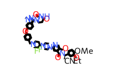 CCOc1cc([C@@H](CC#N)N2C(=O)c3cnc(N4CCN([C@@H]5CCN(Cc6ccc(Oc7ccc8c(N9CCC(=O)NC9=O)nn(C)c8c7)cc6)CC5(F)F)CC4)cc3C2=O)ccc1OC